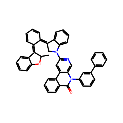 CC1Oc2ccccc2/C1=c1\cccc\c1=C1\CN(c2cc3c4ccccc4c(=O)n(-c4cccc(-c5ccccc5)c4)c3cn2)c2ccccc21